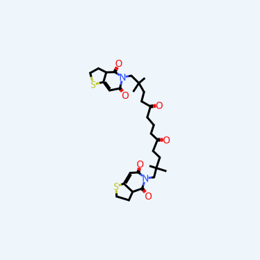 CC(C)(CCC(=O)CCCC(=O)CCC(C)(C)CN1C(=O)C=C2SCCC2C1=O)CN1C(=O)C=C2SCCC2C1=O